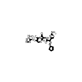 Nc1nc(/C(=N/OC2C=CCC2)C(=O)NC2C(=O)N3C(C(=O)O)=C(CSc4nnn[nH]4)CS[C@H]23)cs1